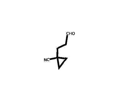 N#CC1(CCC=O)CC1